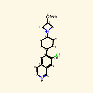 COC1CN(C2CCC(c3cc4ccncc4cc3Cl)CC2)C1